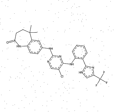 CC1(C)CCC(=O)Nc2ccc(Nc3ncc(Cl)c(Nc4ccccc4-c4nc(C(F)(F)F)c[nH]4)n3)cc21